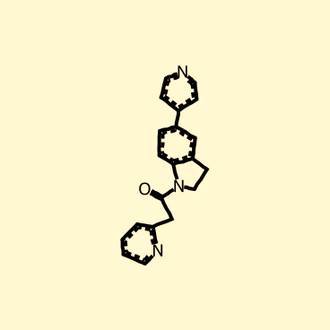 O=C(Cc1ccccn1)N1CCc2cc(-c3ccncc3)ccc21